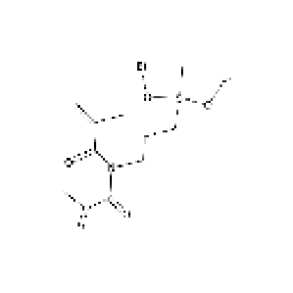 C=C(C)C(=O)N(CCC[Si](C)(OCC)OCC)C(=O)C(=C)C